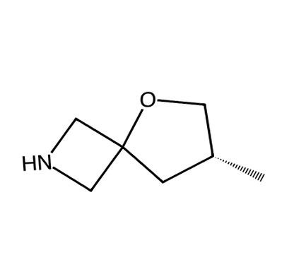 C[C@H]1COC2(CNC2)C1